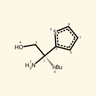 CCCC[C@](N)(CO)c1cccs1